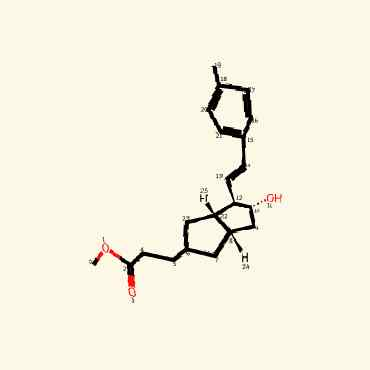 COC(=O)CCC1C[C@H]2C[C@@H](O)[C@H](/C=C/c3ccc(C)cc3)[C@H]2C1